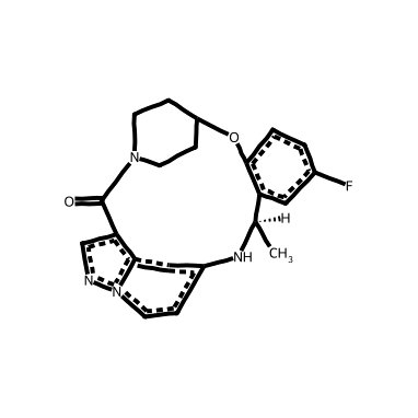 C[C@H]1Nc2ccn3ncc(c3c2)C(=O)N2CCC(CC2)Oc2ccc(F)cc21